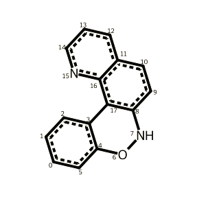 c1ccc2c(c1)ONc1ccc3cccnc3c1-2